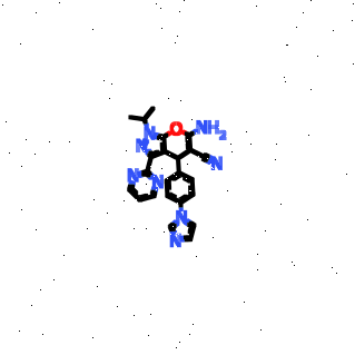 CC(C)n1nc(-c2ncccn2)c2c1OC(N)=C(C#N)C2c1ccc(-n2ccnc2)cc1